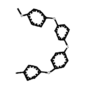 COc1ccc(Oc2ccc(Sc3ccc(Oc4ccc(C)cc4)cc3)cc2)cc1